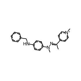 C/C(=N\N(C)c1ccc(NCc2ccccc2)cc1)c1cc[n+](C)cc1